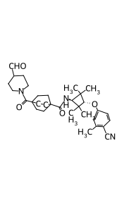 Cc1cc(O[C@H]2C(C)(C)[C@H](NC(=O)C34CCC(C(=O)N5CCC(C=O)CC5)(CC3)CC4)C2(C)C)ccc1C#N